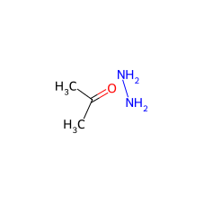 CC(C)=O.NN